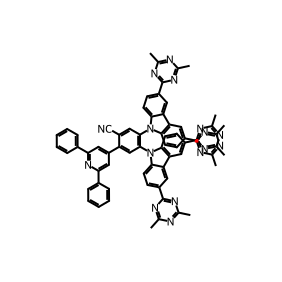 Cc1nc(C)nc(-c2ccc3c(c2)c2cc(-c4nc(C)nc(C)n4)ccc2n3-c2cc(C#N)c(-c3cc(-c4ccccc4)nc(-c4ccccc4)c3)cc2-n2c3ccc(-c4nc(C)nc(C)n4)cc3c3cc(-c4nc(C)nc(C)n4)ccc32)n1